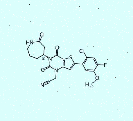 COc1cc(-c2cc3c(s2)c(=O)n([C@H]2CCCNC(=O)C2)c(=O)n3CC#N)c(Cl)cc1F